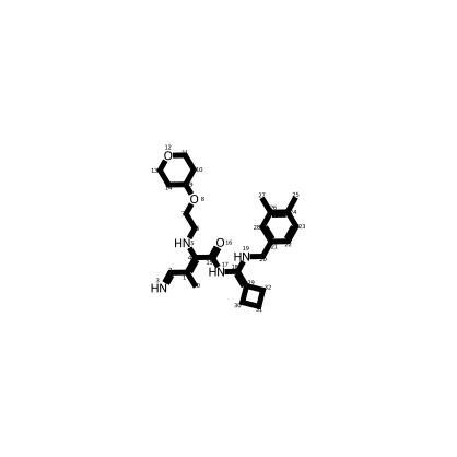 C/C(C=N)=C(/NCCOC1CCOCC1)C(=O)NC(NCc1ccc(C)c(C)c1)=C1CCC1